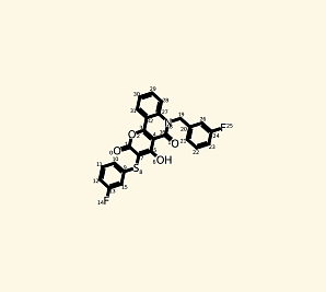 O=c1oc2c(c(O)c1Sc1cccc(F)c1)c(=O)n(Cc1cccc(F)c1)c1ccccc21